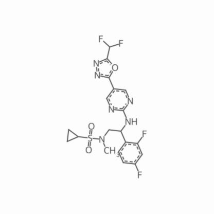 CN(CC(Nc1ncc(-c2nnc(C(F)F)o2)cn1)c1ccc(F)cc1F)S(=O)(=O)C1CC1